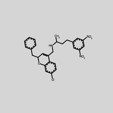 CC(CCc1cc([N+](=O)[O-])cc([N+](=O)[O-])c1)NCC1=CC(Cc2ccccc2)Oc2cc(Cl)ccc21